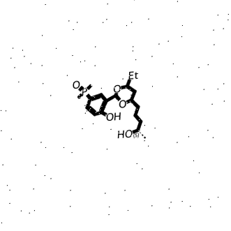 CCC1CC(CCC[C@H](C)O)OC(c2cc(P(C)(C)=O)ccc2O)O1